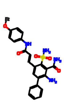 CCOc1ccc(NC(=O)C=Cc2cc(-c3ccccc3)c(N)c(C(N)=O)c2S(N)(=O)=O)cc1